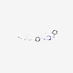 C=CCOC(=O)NCCOc1ccc(NC(=O)N2CC3CC2CN3C(C)c2ccccc2C)cc1